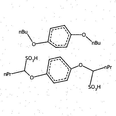 CCCC(Oc1ccc(OC(CCC)S(=O)(=O)O)cc1)S(=O)(=O)O.CCCCOc1ccc(OCCCC)cc1